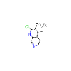 CCOC(=O)c1c(Cl)nc2cnccc2c1C